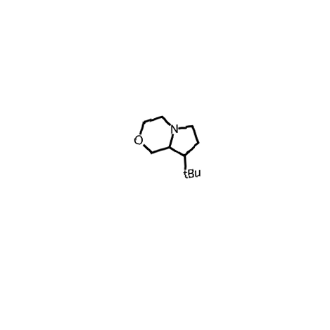 CC(C)(C)C1CCN2CCOCC12